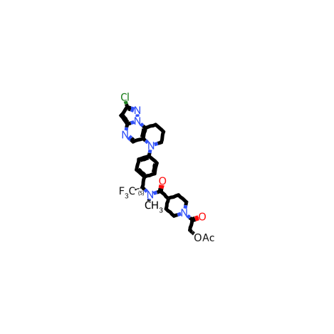 CC(=O)OCC(=O)N1CCC(C(=O)N(C)[C@@H](c2ccc(N3CCCc4c3cnc3cc(Cl)nn43)cc2)C(F)(F)F)CC1